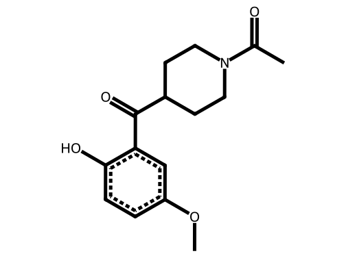 COc1ccc(O)c(C(=O)C2CCN(C(C)=O)CC2)c1